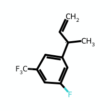 C=C[C](C)c1cc(F)cc(C(F)(F)F)c1